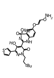 COP1(=O)N=C(c2c(O)c(-c3ccsc3)nn(CCC(C)(C)C)c2=O)Nc2ccc(O/C=C/ON)cc21